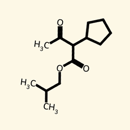 CC(=O)C(C(=O)OCC(C)C)C1CCCC1